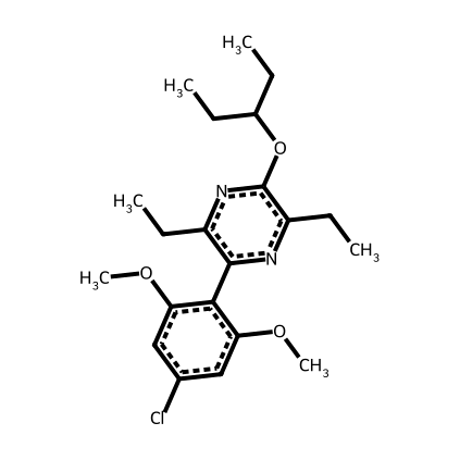 CCc1nc(-c2c(OC)cc(Cl)cc2OC)c(CC)nc1OC(CC)CC